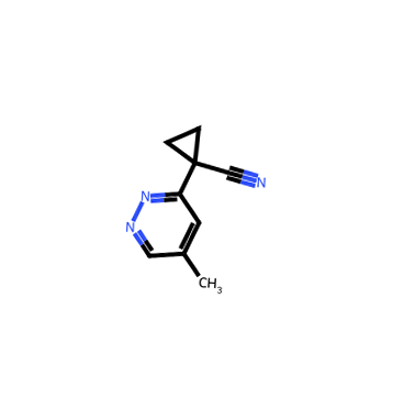 Cc1cnnc(C2(C#N)CC2)c1